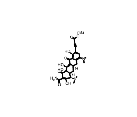 CCCCOC(=O)C#Cc1cc(N(C)C)c2c(c1O)C(=O)C1=C(O)[C@]3(O)C(=O)C(C(N)=O)=C(O)[C@H](N(C)C)[C@@H]3C[C@@H]1C2